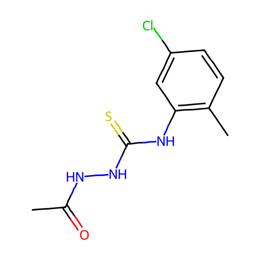 CC(=O)NNC(=S)Nc1cc(Cl)ccc1C